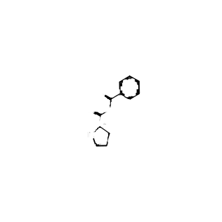 O=C(OC(=O)[C@H]1CCCN1)c1ccccc1